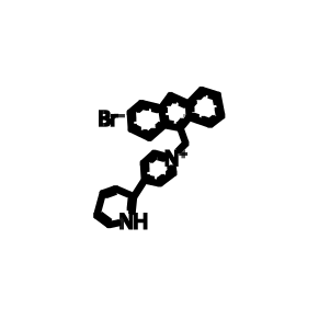 C1=CNC=C(c2cc[n+](Cc3c4ccccc4cc4ccccc34)cc2)C=C1.[Br-]